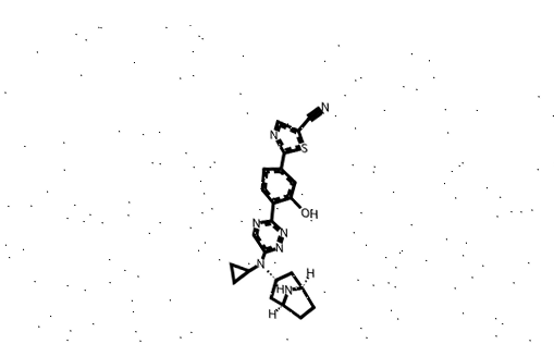 N#Cc1cnc(-c2ccc(-c3ncc(N(C4CC4)[C@@H]4C[C@H]5CC[C@@H](C4)N5)nn3)c(O)c2)s1